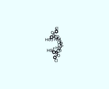 Cc1c(CC(=O)NCC(C)C(=O)OC(=O)CC(C)NC(=O)Cc2c(C)n(C(=O)c3cccc(Cl)c3)c3ccc(O)c(F)c23)c2c(F)c(O)ccc2n1C(=O)c1cccc(Cl)c1